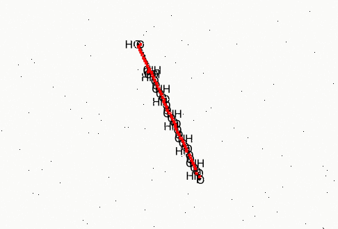 O=C(O)CCCCCCCCCCCCCCCCC(=O)N[C@@H](CCC(=O)NCCOCCOCC(=O)NCCOCCOCC(=O)NCCOCCOCC(=O)NCCOCCOCC(=O)NCCOCCOCC(=O)NCCOCCOCC(=O)NCCOCCOCC(=O)NCCOCCOCC(=O)NCC(=O)I)C(=O)O